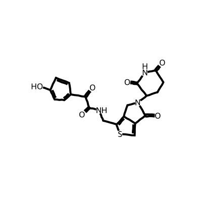 O=C1CCC(N2Cc3c(csc3CNC(=O)C(=O)c3ccc(O)cc3)C2=O)C(=O)N1